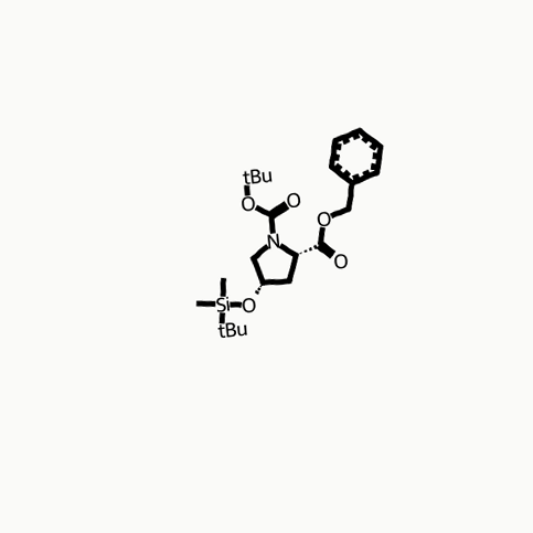 CC(C)(C)OC(=O)N1C[C@@H](O[Si](C)(C)C(C)(C)C)C[C@H]1C(=O)OCc1ccccc1